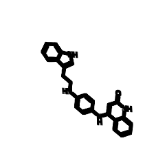 O=c1cc(Nc2ccc(NCCc3c[nH]c4ccccc34)cc2)c2ccccc2[nH]1